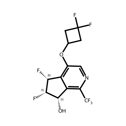 O[C@H]1c2c(C(F)(F)F)ncc(OC3CC(F)(F)C3)c2[C@@H](F)[C@H]1F